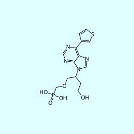 O=P(O)(O)COCC(CCO)n1cnc2c(-c3ccsc3)ncnc21